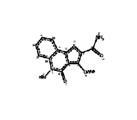 CCCCn1c(=O)c2c(OC)c(C(N)=O)sc2c2ccccc21